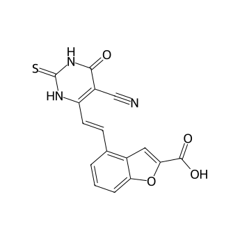 N#Cc1c(C=Cc2cccc3oc(C(=O)O)cc23)[nH]c(=S)[nH]c1=O